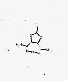 CC1O[C@H](CN)[C@@H](CN)O1.[I][Pt][I]